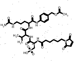 CC(=O)OCc1ccc(NC(=O)C(CCCNC(N)=O)NC(=O)C(NC(=O)[C@H](CS(=O)(=O)O)NC(=O)CCCCCN2C(=O)C=CC2=O)C(C)C)cc1